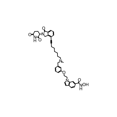 CN(CCCCCCC#Cc1cccc2c1CN(C1CCC(=O)NC1=O)C2=O)Cc1cccc(OCCn2ccc3ccc(C(=O)NO)cc32)c1